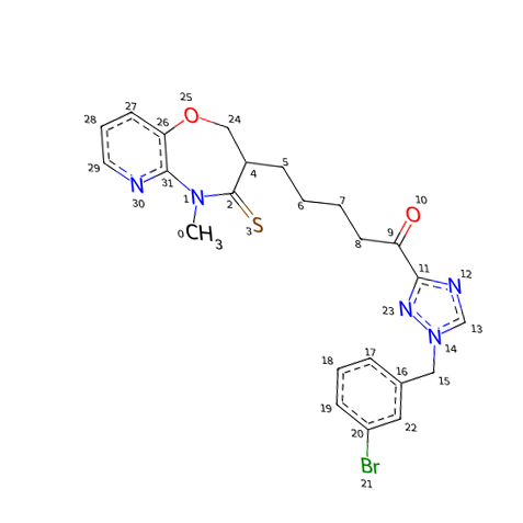 CN1C(=S)C(CCCCC(=O)c2ncn(Cc3cccc(Br)c3)n2)COc2cccnc21